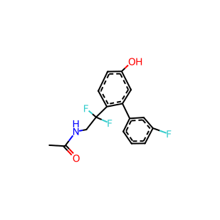 CC(=O)NCC(F)(F)c1ccc(O)cc1-c1cccc(F)c1